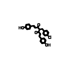 O=C(/C=C/c1ccc(O)cc1)C(Cc1ccc(Cl)cc1)C(=O)/C=C/c1ccc(O)cc1